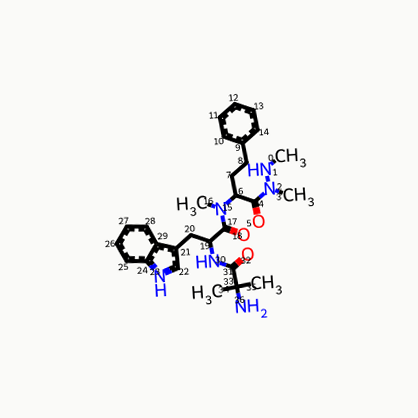 CNN(C)C(=O)C(CCc1ccccc1)N(C)C(=O)C(Cc1c[nH]c2ccccc12)NC(=O)C(C)(C)N